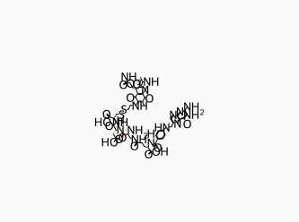 CO[C@]12C(C)NCN1C1=C(C(=O)C(NCCSSC[C@@H](NC(=O)[C@@H](CC(=O)O)NC(=O)[C@H](N)CNC(=O)CC[C@@H](NC(=O)c3ccc(NCc4cnc5nc(N)[nH]c(=O)c5n4)cc3)C(=O)O)C(=O)O)=C(C)C1=O)[C@H]2COC(N)=O